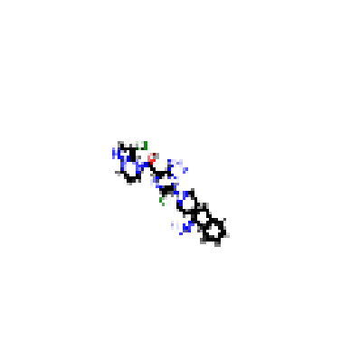 Nc1nc(N2CCC3(CC2)Cc2ccccc2C3N)c(Cl)nc1C(=O)N1CCCn2ncc(Cl)c21